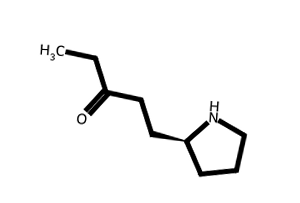 CCC(=O)CC[C@@H]1CCCN1